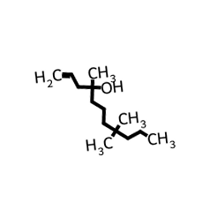 C=CCC(C)(O)CCCC(C)(C)CCC